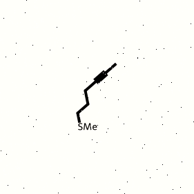 CC#CCCCSC